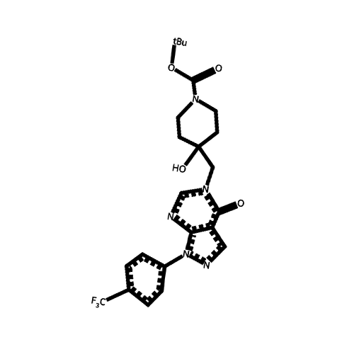 CC(C)(C)OC(=O)N1CCC(O)(Cn2cnc3c(cnn3-c3ccc(C(F)(F)F)cc3)c2=O)CC1